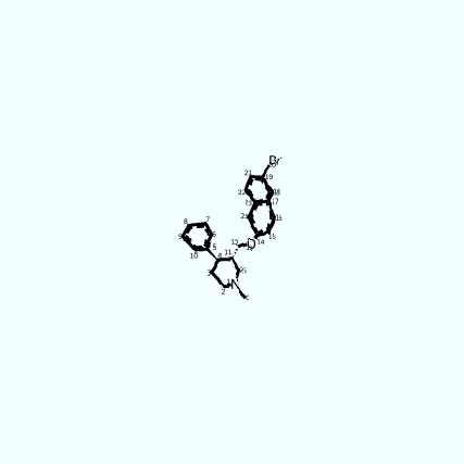 CN1CC[C@@H](c2ccccc2)[C@H](COc2ccc3cc(Br)ccc3c2)C1